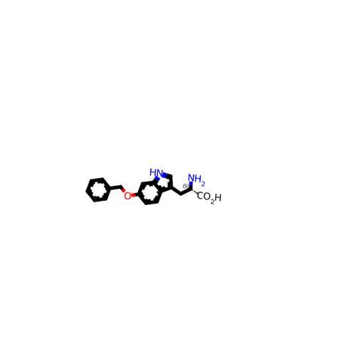 N[C@@H](Cc1c[nH]c2cc(OCc3ccccc3)ccc12)C(=O)O